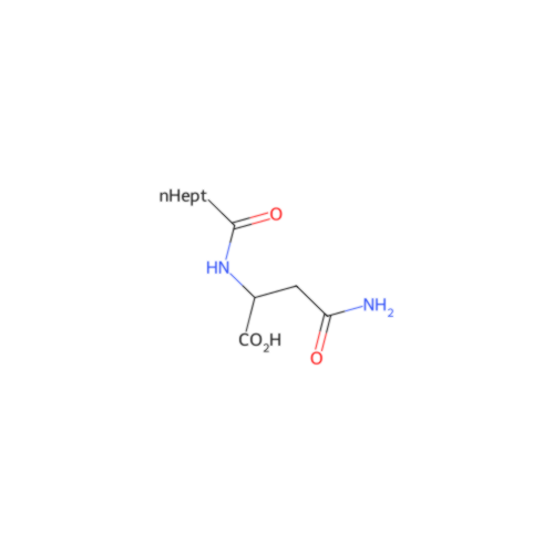 CCCCCCCC(=O)NC(CC(N)=O)C(=O)O